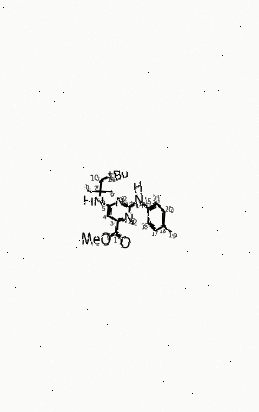 COC(=O)c1cc(NC(C)(C)CC(C)(C)C)nc(Nc2ccc(C)cc2)n1